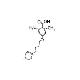 Cc1cc(OCCCCc2ccccc2)cc(C)c1C(=O)O